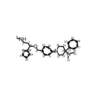 CNCCC(OCc1ccc(N2CCC(c3ccccc3)(N(C)C)CC2)cc1)c1cccs1